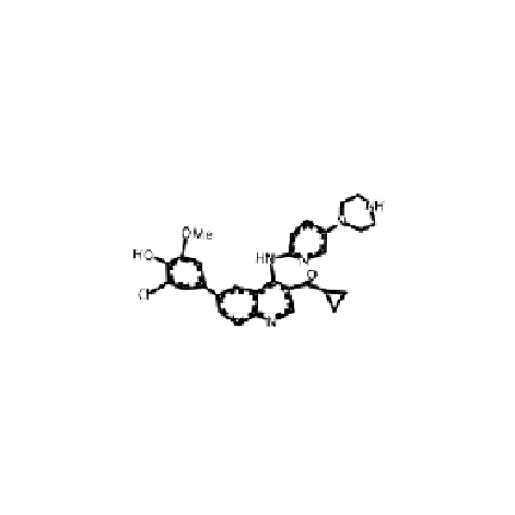 COc1cc(-c2ccc3ncc(C(=O)C4CC4)c(Nc4ccc(N5CCNCC5)cn4)c3c2)cc(Cl)c1O